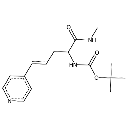 CNC(=O)C(CC=Cc1ccncc1)NC(=O)OC(C)(C)C